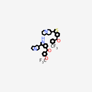 O=C(c1cccc(C(F)(F)F)c1)c1ccc2scc(C3=CCN4CCCCC4CC3)c2c1.O=C(c1cccc(OC(F)(F)F)c1)c1ccc2[nH]cc(C3=CCN4CCCC4C3)c2c1